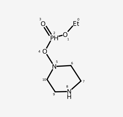 CCO[PH](=O)ON1CCNCC1